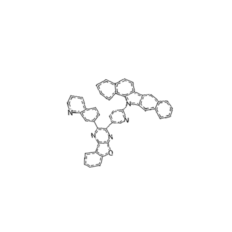 c1ccc2cc3c(cc2c1)c1ccc2ccccc2c1n3-c1ccc(-c2nc3oc4ccccc4c3nc2-c2ccc3cccnc3c2)cn1